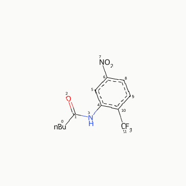 CCCCC(=O)Nc1cc([N+](=O)[O-])ccc1C(F)(F)F